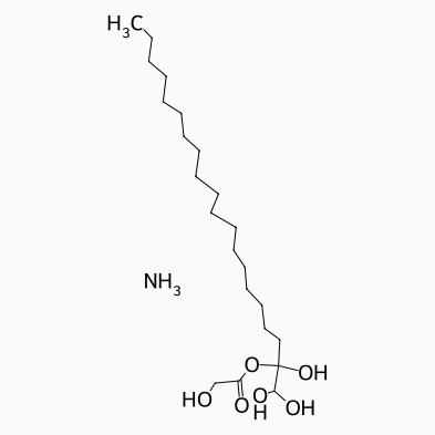 CCCCCCCCCCCCCCCCCCC(O)(OC(=O)CO)C(O)O.N